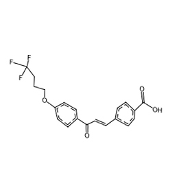 O=C(O)c1ccc(/C=C/C(=O)c2ccc(OCCCC(F)(F)F)cc2)cc1